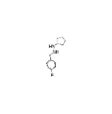 Fc1ccc(CNNC2CCCC2)cc1